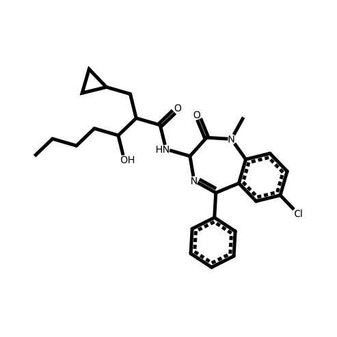 CCCCC(O)C(CC1CC1)C(=O)NC1N=C(c2ccccc2)c2cc(Cl)ccc2N(C)C1=O